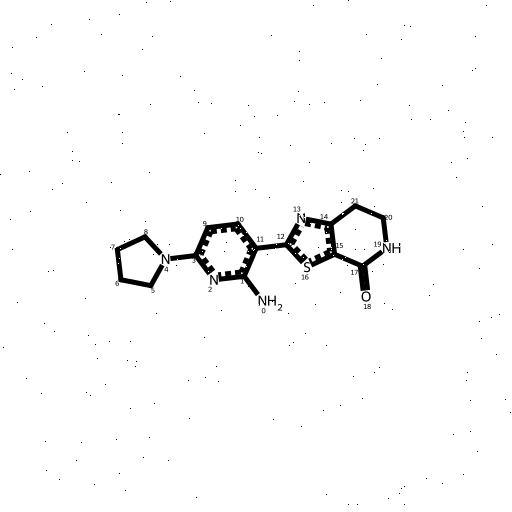 Nc1nc(N2CCCC2)ccc1-c1nc2c(s1)C(=O)NCC2